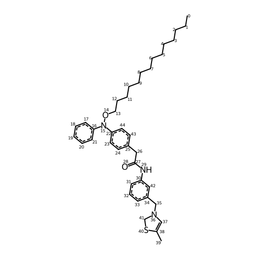 CCCCCCCCCCCCCCON(c1ccccc1)c1ccc(CC(=O)Nc2cccc(CN3C=C(C)SC3)c2)cc1